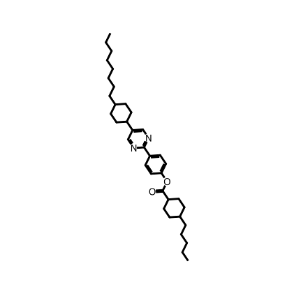 CCCCCCCCC1CCC(c2cnc(-c3ccc(OC(=O)C4CCC(CCCCC)CC4)cc3)nc2)CC1